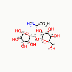 NCC(=O)O.OC[C@H]1O[C@H](OC[C@H]2O[C@@H](O)[C@H](O)[C@@H](O)[C@@H]2O)[C@H](O)[C@@H](O)[C@H]1O